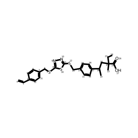 C=Cc1ccc(CSc2nnc(SCc3ccc(C(C)CC(C)(CC)C(=O)O)cc3)s2)cc1